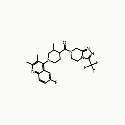 Cc1nc2ccc(F)cc2c(N2CCC(C(=O)N3CCn4c(nnc4C(F)(F)F)C3)C(C)C2)c1C